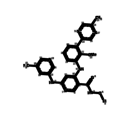 CCONC(=O)c1cnc(Nc2cncc(C(F)(F)F)c2)cc1Nc1cccc(-c2cnc(C)cn2)c1OC